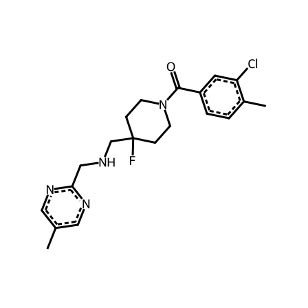 Cc1cnc(CNCC2(F)CCN(C(=O)c3ccc(C)c(Cl)c3)CC2)nc1